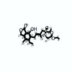 CCOC(=O)[C@H](C)NP(=O)(CC)C/C(C)=C/Cc1c(O)c2c(c(C)c1CC)COC2=O